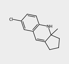 CC12CCCC1=Cc1cc(Cl)ccc1N2